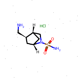 Cl.NC[C@@H]1C[C@@H]2C[C@H]1CN2S(N)(=O)=O